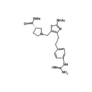 CNC(=O)[C@H]1CCN(Cc2sc(NC(C)=O)nc2CCc2ccc(NC(=N)N)cc2)C1